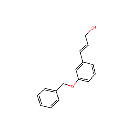 OCC=Cc1cccc(OCc2ccccc2)c1